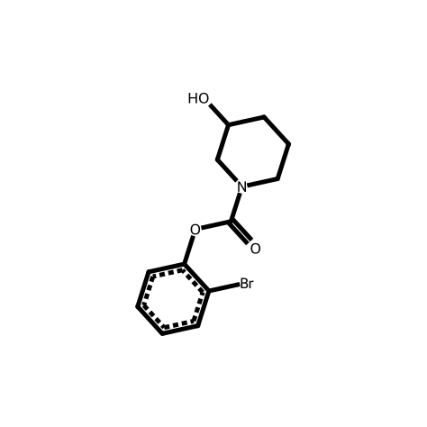 O=C(Oc1ccccc1Br)N1CCCC(O)C1